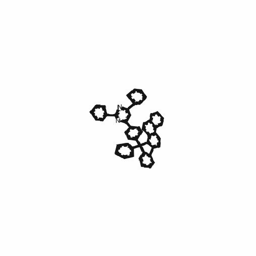 c1ccc(-c2cc(-c3ccc(C4(c5ccccc5)c5ccccc5-c5ccc6c(ccc7ccccc76)c54)cc3)nc(-c3ccccc3)n2)cc1